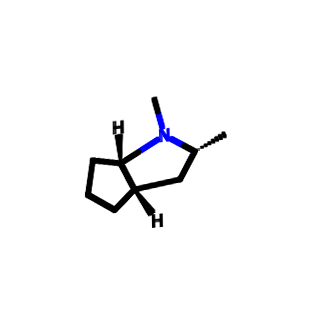 C[C@@H]1C[C@@H]2CCC[C@@H]2N1C